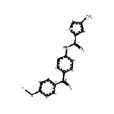 Cc1csc(C(=O)Nc2ccc(C(=O)c3ccc(CI)cc3)cc2)c1